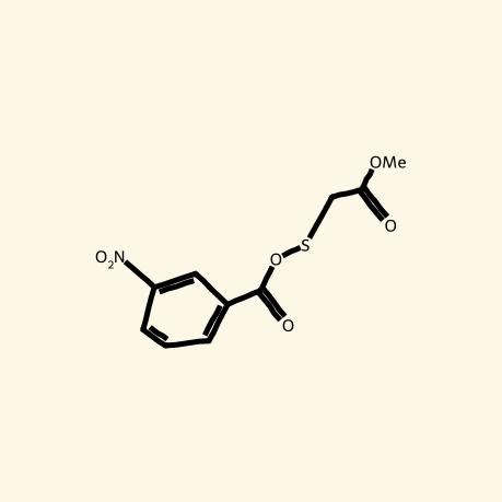 COC(=O)CSOC(=O)c1cccc([N+](=O)[O-])c1